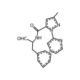 Cc1cc(C(=O)NC(C=O)Cc2ccccc2)n(-c2cnccn2)n1